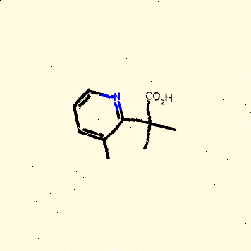 Cc1cccnc1C(C)(C)C(=O)O